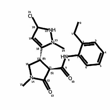 CCc1ccccc1NC(=O)[C@H]1C(=O)N(C)C[C@@H]1C1=CC(Cl)NN1C